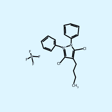 CCCCc1c(Cl)n(-c2ccccc2)[n+](-c2ccccc2)c1Cl.F[B-](F)(F)F